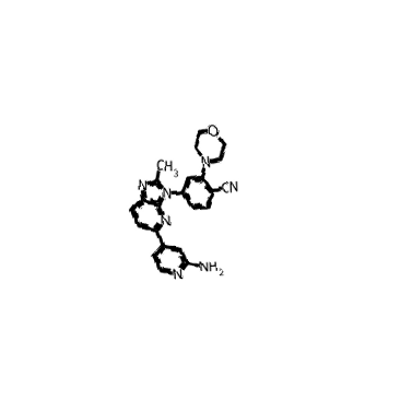 Cc1nc2ccc(-c3ccnc(N)c3)nc2n1-c1ccc(C#N)c(N2CCOCC2)c1